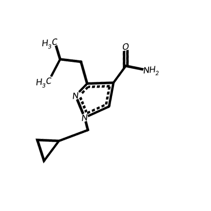 CC(C)Cc1nn(CC2CC2)cc1C(N)=O